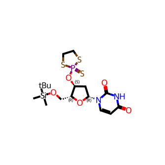 CC(C)(C)[Si](C)(C)OC[C@H]1O[C@@H](n2ccc(=O)[nH]c2=O)C[C@@H]1OP1(=S)SCCS1